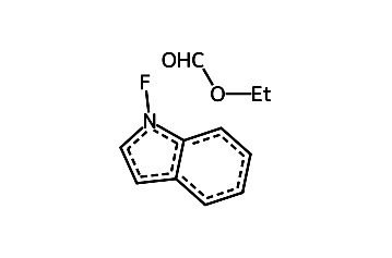 CCOC=O.Fn1ccc2ccccc21